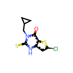 O=c1c2sc(Cl)cc2[nH]c(=S)n1CC1CC1